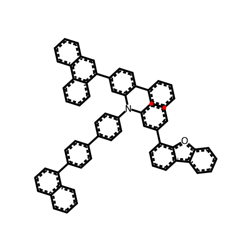 c1ccc(-c2ccc(-c3cc4ccccc4c4ccccc34)cc2N(c2ccc(-c3ccc(-c4cccc5ccccc45)cc3)cc2)c2cccc(-c3cccc4c3oc3ccccc34)c2)cc1